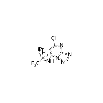 CC(C)c1c(Cl)nc2ncnn2c1N[C@@H](C)C(F)(F)F